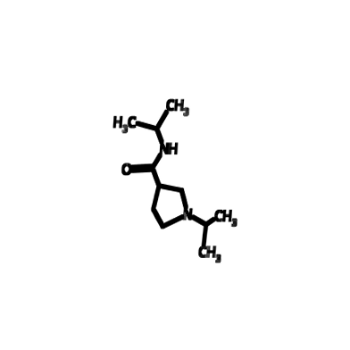 CC(C)NC(=O)C1CCN(C(C)C)C1